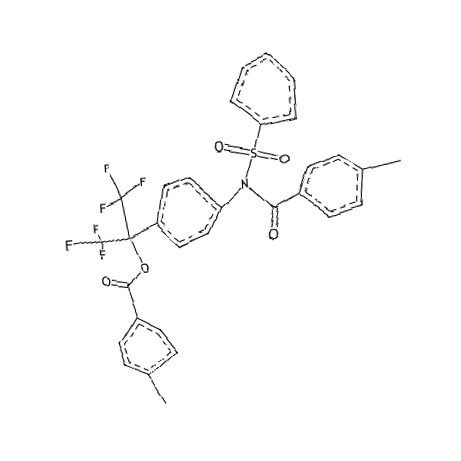 Cc1ccc(C(=O)OC(c2ccc(N(C(=O)c3ccc(C)cc3)S(=O)(=O)c3ccccc3)cc2)(C(F)(F)F)C(F)(F)F)cc1